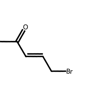 CC(=O)C=CCBr